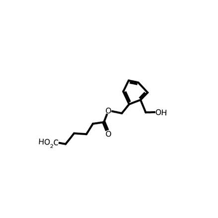 O=C(O)CCCCC(=O)OCc1ccccc1CO